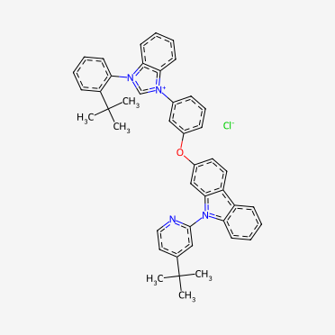 CC(C)(C)c1ccnc(-n2c3ccccc3c3ccc(Oc4cccc(-[n+]5cn(-c6ccccc6C(C)(C)C)c6ccccc65)c4)cc32)c1.[Cl-]